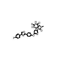 CN1CC2(C(=O)NC(=O)NC2=O)N(c2ccc(Oc3ccc(-c4nc(-c5ccc(F)cc5)co4)cc3)nc2)C1=O